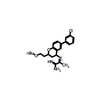 CCCCOCCC1CC(/N=C(/C)C(=N)N)c2cc(-c3cccc(Cl)c3)ccc2O1